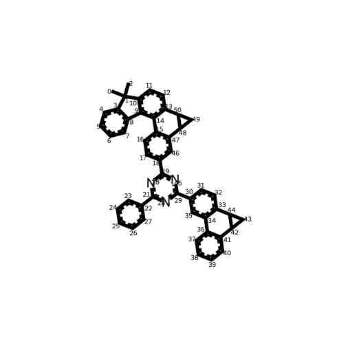 CC1(C)c2ccccc2-c2c1ccc1c2-c2ccc(-c3nc(-c4ccccc4)nc(-c4ccc5c(c4)-c4ccccc4C4CC54)n3)cc2C2CC12